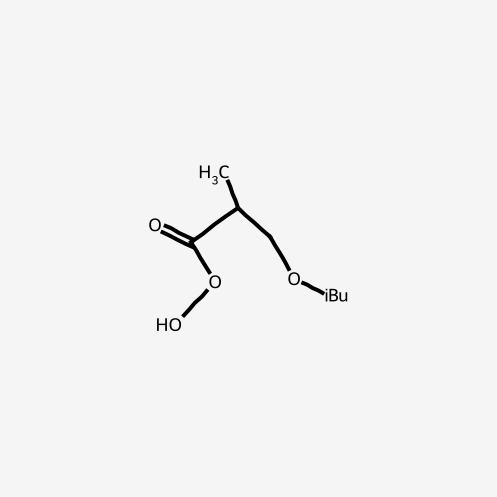 CCC(C)OCC(C)C(=O)OO